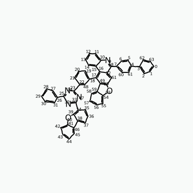 c1ccc(-c2ccc(-c3nc4ccccc4c4c(-c5cccc(-c6nc(-c7ccccc7)nc(-c7cccc8c7oc7ccccc78)n6)c5)c5c(cc34)oc3ccccc35)cc2)cc1